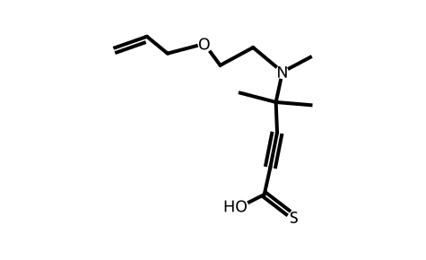 C=CCOCCN(C)C(C)(C)C#CC(O)=S